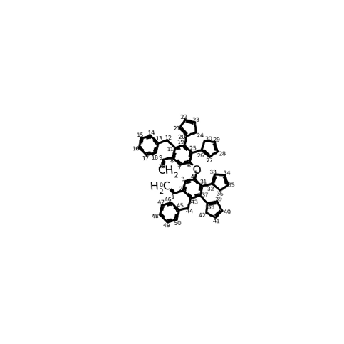 C=Cc1cc(Oc2cc(C=C)c(Cc3ccccc3)c(C3=CC=CC3)c2C2=CC=CC2)c(C2=CC=CC2)c(C2=CC=CC2)c1Cc1ccccc1